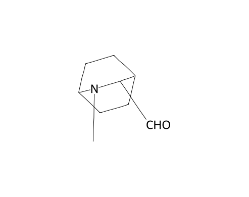 CN1C2CCC(CC2)C1C=O